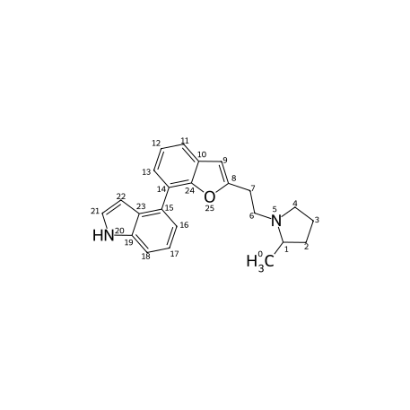 CC1CCCN1CCc1cc2cccc(-c3cccc4[nH]ccc34)c2o1